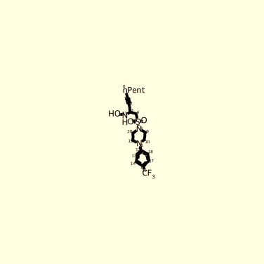 CCCCCC#CC(CS(=O)(=O)N1CCN(c2ccc(C(F)(F)F)cc2)CC1)NO